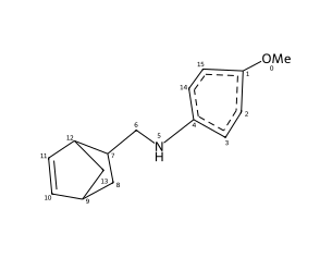 COc1ccc(NCC2CC3C=CC2C3)cc1